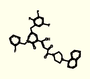 O=C(C=C(O)c1cc(Cc2cc(F)cc(F)c2F)cn(Cc2ccccc2F)c1=O)C(=O)N1CCN(c2cccc3ccccc23)CC1